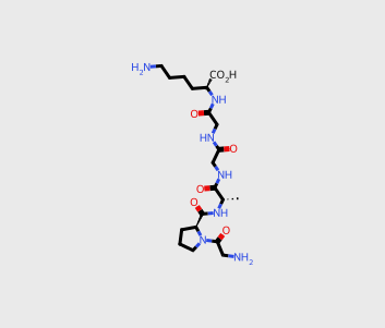 C[C@H](NC(=O)[C@@H]1CCCN1C(=O)CN)C(=O)NCC(=O)NCC(=O)N[C@@H](CCCCN)C(=O)O